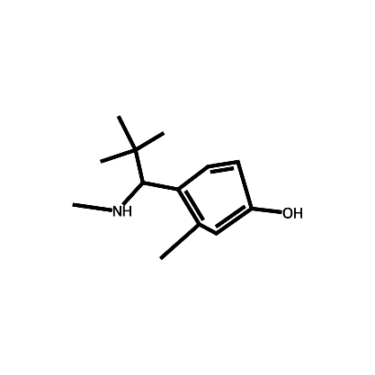 CNC(c1ccc(O)cc1C)C(C)(C)C